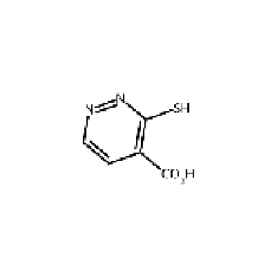 O=C(O)c1ccnnc1S